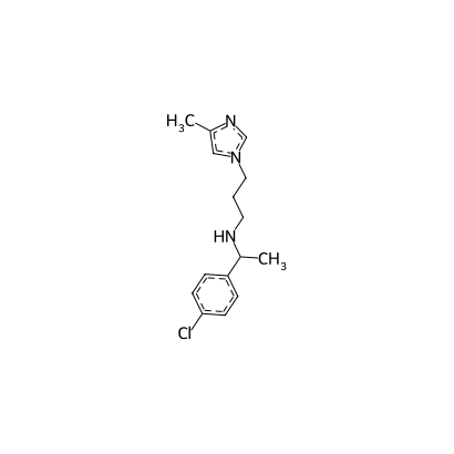 Cc1cn(CCCNC(C)c2ccc(Cl)cc2)cn1